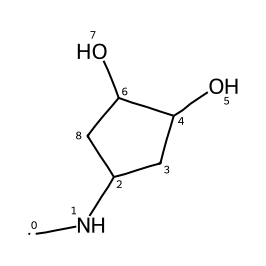 [CH2]NC1CC(O)C(O)C1